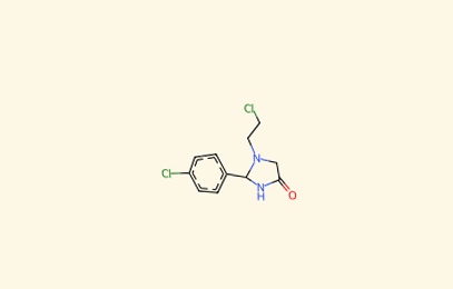 O=C1CN(CCCl)C(c2ccc(Cl)cc2)N1